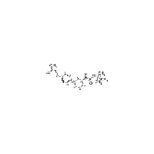 CC(=O)OCc1ccc(N2CCC[C@H](NC(=O)OC(C)(C)C)C2)cn1